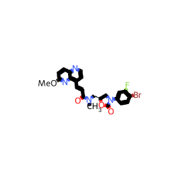 COc1ccc2nccc(/C=C/C(=O)N(C)C[C@@H]3CN(c4ccc(Br)c(F)c4)C(=O)O3)c2n1